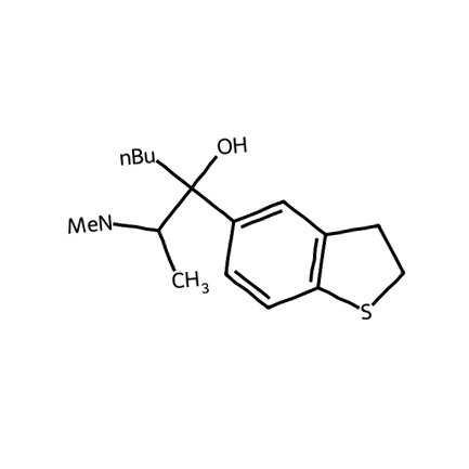 CCCCC(O)(c1ccc2c(c1)CCS2)C(C)NC